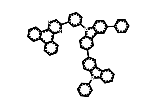 c1ccc(-c2ccc3c(c2)c2cc(-c4ccc5c(c4)c4ccccc4n5-c4ccccc4)ccc2n3-c2cccc(-c3cnc4c5ccccc5c5ccccc5c4n3)c2)cc1